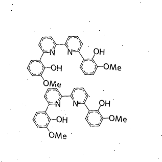 COc1cccc(-c2cccc(-c3cccc(-c4cccc(OC)c4O)n3)n2)c1O.COc1cccc(-c2cccc(-c3cccc(-c4cccc(OC)c4O)n3)n2)c1O